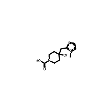 Cn1ccnc1CC1(O)CCN(C(=O)O)CC1